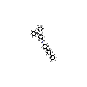 C1=CC(N(c2ccccc2)c2ccc(/C=C/C3=CC=C(c4ccc(-c5ccccc5)cc4)CC3)cc2)=CCC1